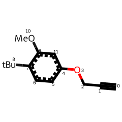 C#CCOc1ccc(C(C)(C)C)c(OC)c1